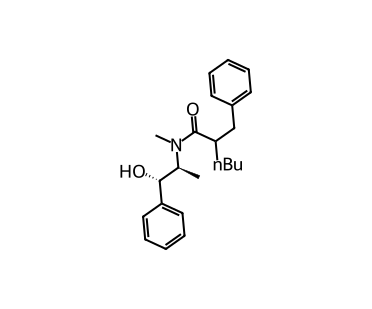 CCCCC(Cc1ccccc1)C(=O)N(C)[C@@H](C)[C@@H](O)c1ccccc1